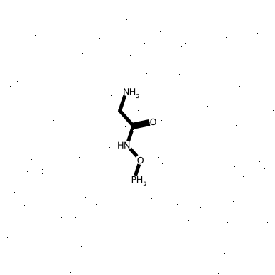 NCC(=O)NOP